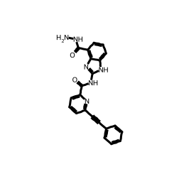 NNC(=O)c1cccc2[nH]c(NC(=O)c3cccc(C#Cc4ccccc4)n3)nc12